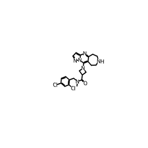 CN(Cc1ccc(Cl)cc1Cl)C(=O)C1CN(c2c3c(nc4ccnn24)CCNCC3)C1